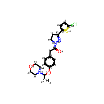 CC(Oc1ccc(CC(=O)N2CCC(c3ccc(Cl)s3)=N2)cc1)N1CCOCC1